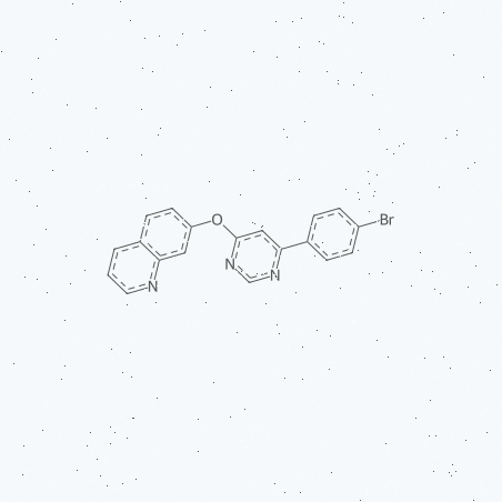 Brc1ccc(-c2cc(Oc3ccc4cccnc4c3)ncn2)cc1